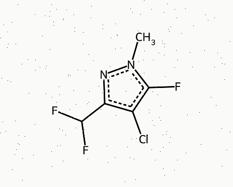 Cn1nc(C(F)F)c(Cl)c1F